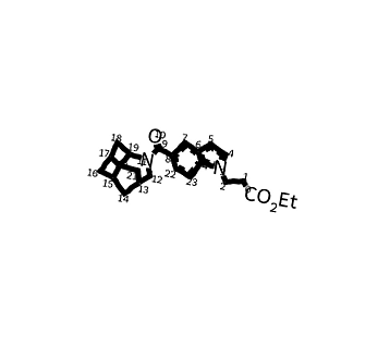 CCOC(=O)CCn1ccc2cc(C(=O)N3CC4CC5CC6CC3C56C4)ccc21